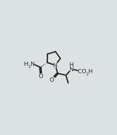 CC(NC(=O)O)C(=O)N1CCC[C@H]1C(N)=O